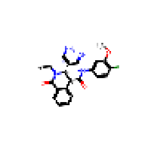 CC(C)CN1C(=O)c2ccccc2[C@H](C(=O)Nc2ccc(F)c(OC(F)(F)F)c2)[C@H]1/C(C=N)=C/N